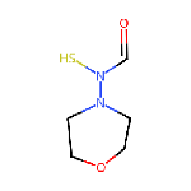 O=CN(S)N1CCOCC1